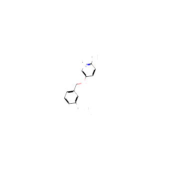 O=C(O)c1cccc(COc2ccc(C(F)(F)F)nc2)c1